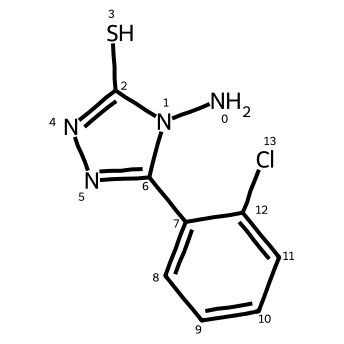 Nn1c(S)nnc1-c1ccccc1Cl